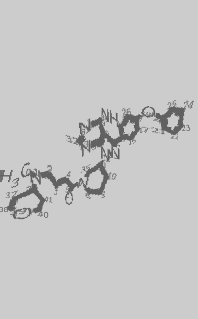 CN(C/C=C/C(=O)N1CCC[C@@H](n2nc(-c3ccc(Oc4ccccc4)cc3)c3c(N)ncnc32)C1)C1CCOCC1